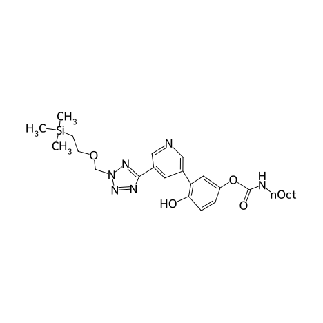 CCCCCCCCNC(=O)Oc1ccc(O)c(-c2cncc(-c3nnn(COCC[Si](C)(C)C)n3)c2)c1